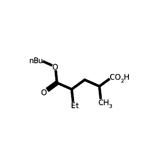 CCCCOC(=O)C(CC)CC(C)C(=O)O